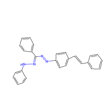 C(=Cc1ccc(N=NC(=NNc2ccccc2)c2ccccc2)cc1)c1ccccc1